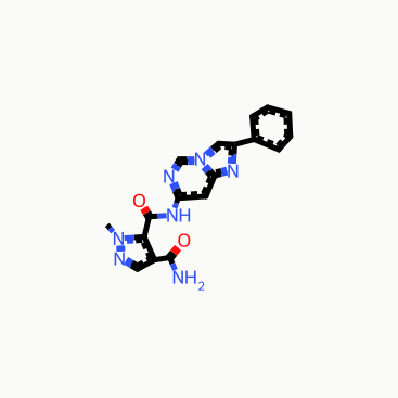 Cn1ncc(C(N)=O)c1C(=O)Nc1cc2nc(-c3ccccc3)cn2cn1